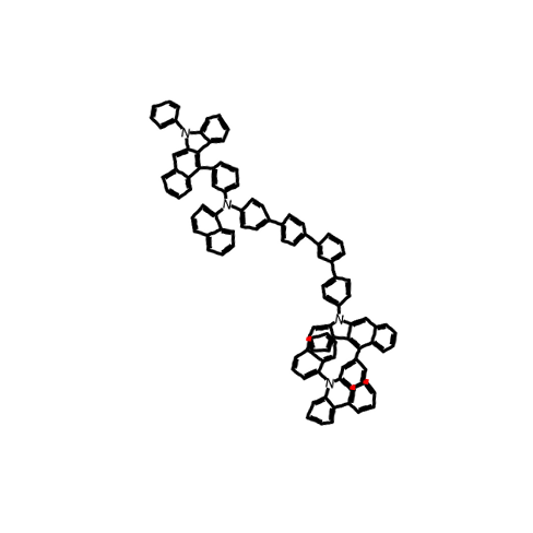 c1ccc(-c2ccccc2N(c2cccc(-c3c4ccccc4cc4c3c3ccccc3n4-c3ccc(-c4cccc(-c5ccc(-c6ccc(N(c7cccc(-c8c9ccccc9cc9c8c8ccccc8n9-c8ccccc8)c7)c7cccc8ccccc78)cc6)cc5)c4)cc3)c2)c2cccc3ccccc23)cc1